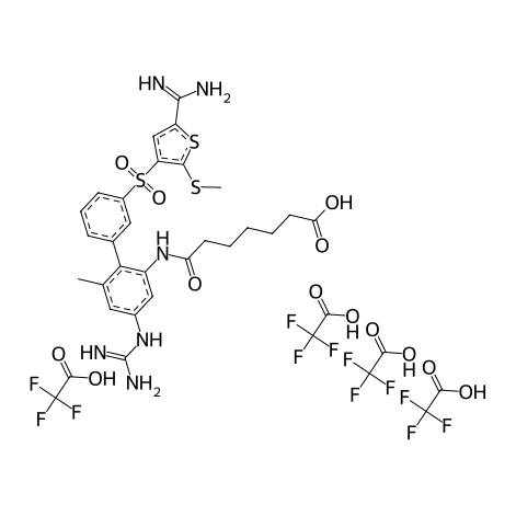 CSc1sc(C(=N)N)cc1S(=O)(=O)c1cccc(-c2c(C)cc(NC(=N)N)cc2NC(=O)CCCCCC(=O)O)c1.O=C(O)C(F)(F)F.O=C(O)C(F)(F)F.O=C(O)C(F)(F)F.O=C(O)C(F)(F)F